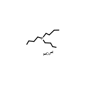 CCCCP(CCCC)CCCC.[I][Cu][I]